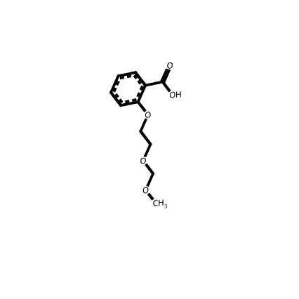 COCOCCOc1ccccc1C(=O)O